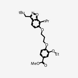 CCCc1c(OCCCOc2ccc(C(=O)OC)cc2OCC)ccc2c(CC(C)(C)C)noc12